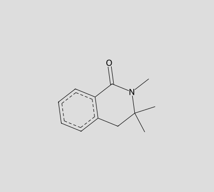 CN1C(=O)c2ccccc2CC1(C)C